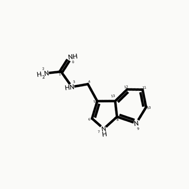 N=C(N)NCc1c[nH]c2ncccc12